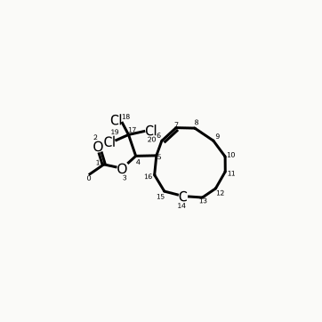 CC(=O)OC(C1C=CCCCCCCCCC1)C(Cl)(Cl)Cl